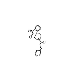 O=C(CSc1ccccc1)N1CCC2(CC1)C(=O)Nc1ccccc12